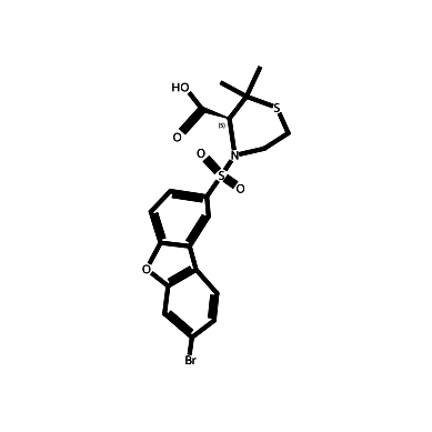 CC1(C)SCCN(S(=O)(=O)c2ccc3oc4cc(Br)ccc4c3c2)[C@H]1C(=O)O